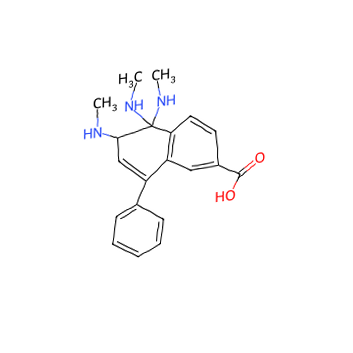 CNC1C=C(c2ccccc2)c2cc(C(=O)O)ccc2C1(NC)NC